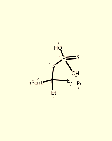 CCCCCC(CC)(CC)SP(O)(O)=S.[P]